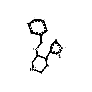 c1ccc(COC2CNCCC2c2ccno2)cc1